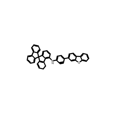 c1c(Nc2cccc3c2C2=C(C=CCC2)C32c3ccccc3-c3ccccc32)ccc(-c2ccc3c(c2)oc2ccccc23)c#1